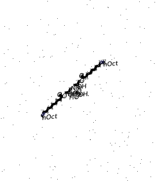 CCCCCCCC/C=C\CCCCCCCC(=O)OC[C@@H](O)CNC[C@H](O)COC(=O)CCCCCCC/C=C\CCCCCCCC.O=P(O)(O)O